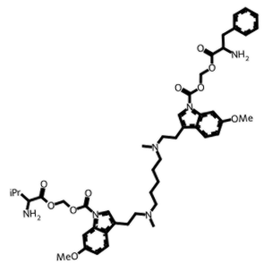 COc1ccc2c(CCN(C)CCCCCN(C)CCc3cn(C(=O)OCOC(=O)C(N)C(C)C)c4cc(OC)ccc34)cn(C(=O)OCOC(=O)C(N)Cc3ccccc3)c2c1